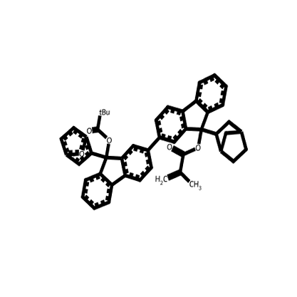 C=C(C)C(=O)OC1(C2CC3CCC2C3)c2ccccc2-c2ccc(-c3ccc4c(c3)C(OC(=O)C(C)(C)C)(c3cc5ccc3o5)c3ccccc3-4)cc21